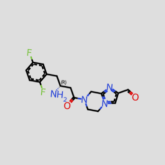 N[C@@H](CC(=O)N1CCn2cc(C=O)nc2C1)Cc1cc(F)ccc1F